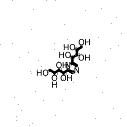 OC[C@@H](O)[C@@H](O)[C@@H](O)c1cncc([C@H](O)[C@H](O)[C@H](O)CO)n1